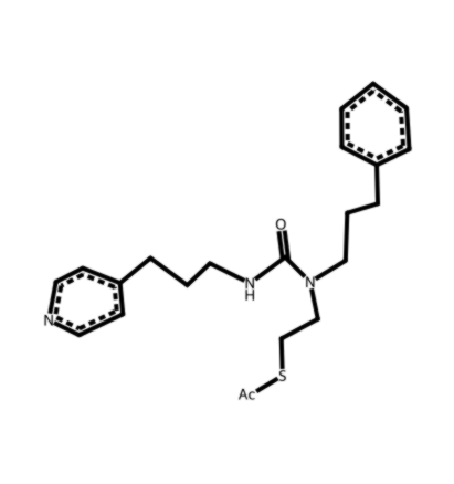 CC(=O)SCCN(CCCc1ccccc1)C(=O)NCCCc1ccncc1